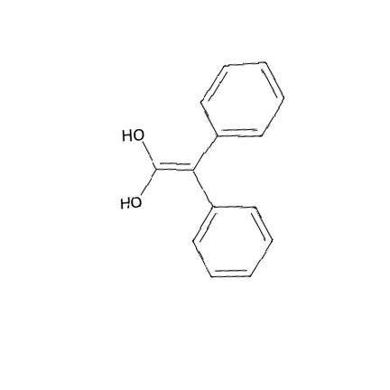 OC(O)=C(c1ccccc1)c1ccccc1